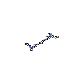 Cc1cccc(N(c2ccc(C3=CCC4C=CC=CC4=C3)cc2)c2ccc3c(c2)C(C)(C)c2cc(/C=C/c4ccc5c(c4)C(C)(C)c4cc(/C=C/c6ccc7c(c6)C(C)(C)c6cc(N(c8ccc(-c9ccc%10ccccc%10c9)cc8)c8cccc(C)c8)ccc6-7)ccc4-5)ccc2-3)c1